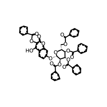 O=C(OC[C@H]1O[C@@H](Oc2ccc3c(O)c(OC(=O)c4ccccc4)c(=O)oc3c2)[C@H](OC(=O)c2ccccc2)[C@@H](OC(=O)c2ccccc2)[C@H]1OC(=O)c1ccccc1)c1ccccc1